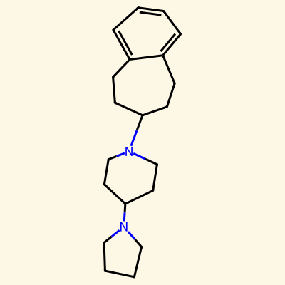 c1ccc2c(c1)CCC(N1CCC(N3CCCC3)CC1)CC2